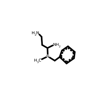 CN(Cc1ccccc1)C(N)CCN